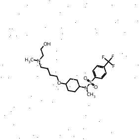 CN(CCO)CCCCOC1CCC(N(C)S(=O)(=O)c2ccc(C(F)(F)F)cc2)CC1